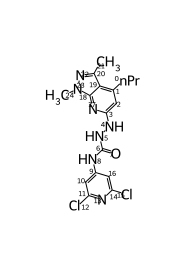 CCCc1cc(NNC(=O)Nc2cc(Cl)nc(Cl)c2)nc2c1c(C)nn2C